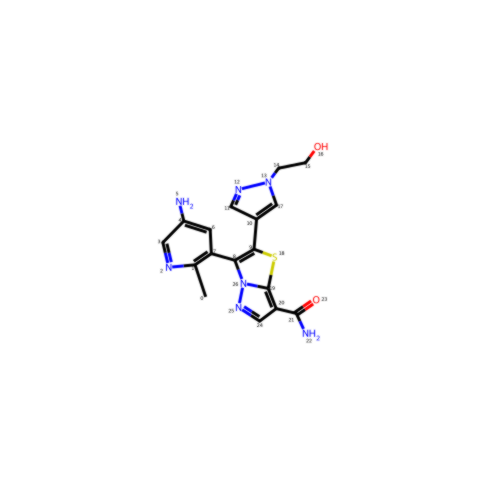 Cc1ncc(N)cc1-c1c(-c2cnn(CCO)c2)sc2c(C(N)=O)cnn12